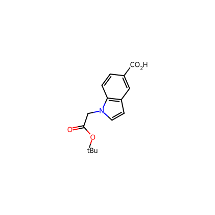 CC(C)(C)OC(=O)Cn1ccc2cc(C(=O)O)ccc21